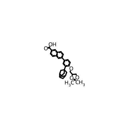 CC1(C)OCC(COc2ccc(-c3ccc4cc(C(=O)O)ccc4c3)cc2C23CC4CC(C2)C(C4)C3)O1